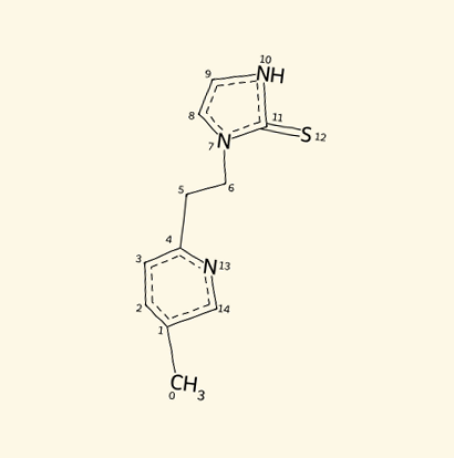 Cc1ccc(CCn2cc[nH]c2=S)nc1